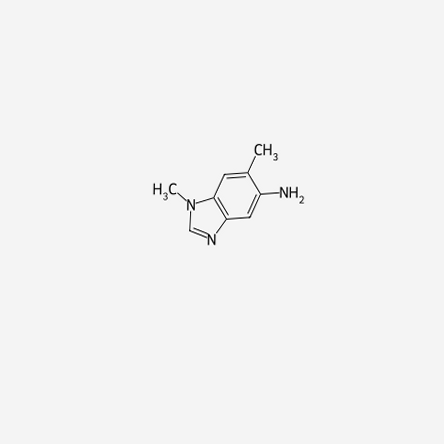 Cc1cc2c(cc1N)ncn2C